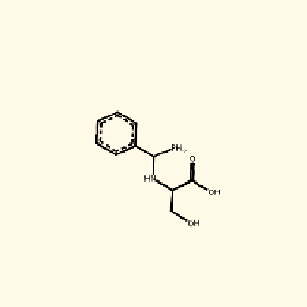 O=C(O)[C@@H](CO)NC(P)c1ccccc1